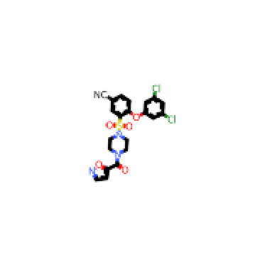 N#Cc1ccc(Oc2cc(Cl)cc(Cl)c2)c(S(=O)(=O)N2CCN(C(=O)c3ccno3)CC2)c1